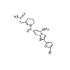 NC(=O)OC1CCCN(C(=O)c2cc(N)n3nc(-c4ccc(Br)o4)nc3c2)C1